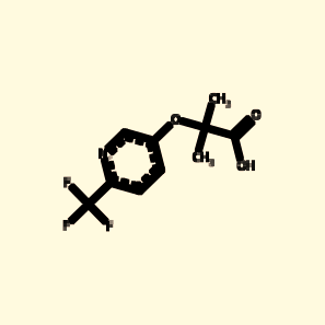 CC(C)(Oc1ccc(C(F)(F)F)nc1)C(=O)O